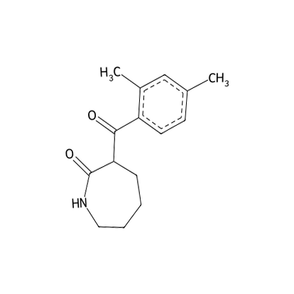 Cc1ccc(C(=O)C2CCCCNC2=O)c(C)c1